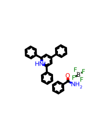 F[B-](F)(F)F.NC(=O)c1ccccc1.c1ccc(-c2cc(-c3ccccc3)[nH+]c(-c3ccccc3)c2)cc1